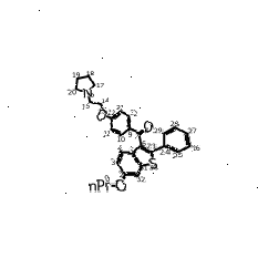 CCCOc1ccc2c(C(=O)c3ccc(OCCN4CCCC4)cc3)c(-c3ccccc3)sc2c1